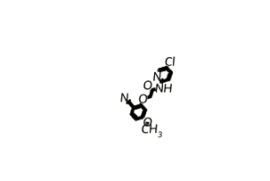 COc1ccc(C#N)c(OCC(=O)Nc2ccc(Cl)cn2)c1